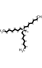 CCCCCCC[Si](F)(CCCCCCC)CCCCCCC